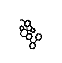 Clc1ccc2c(c1)C1(c3ccccc3CCc3cc(-c4ccccc4-c4ccccc4)ccc31)c1ccccc1-2